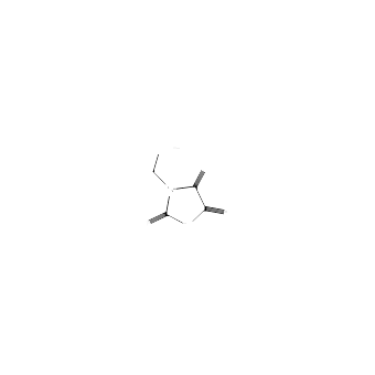 [CH2]CCCCCN1C(=O)SC(=O)C1=O